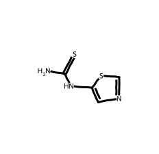 NC(=S)Nc1cncs1